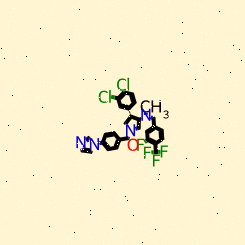 CN(Cc1ccc(C(F)(F)F)c(F)c1)[C@H]1CN(C(=O)c2ccc(-n3ccnc3)cc2)C[C@@H]1c1ccc(Cl)c(Cl)c1